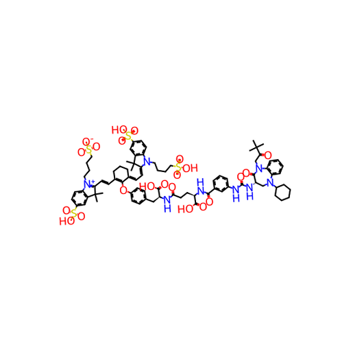 CC(C)(C)C(=O)CN1C(=O)[C@@H](NC(=O)Nc2cccc(C(=O)N[C@H](CCC(=O)N[C@@H](Cc3ccc(OC4=C(/C=C/C5=[N+](CCCCS(=O)(=O)[O-])c6ccc(S(=O)(=O)O)cc6C5(C)C)CCC/C4=C\C=C4\N(CCCCS(=O)(=O)O)c5ccc(S(=O)(=O)O)cc5C4(C)C)cc3)C(=O)O)C(=O)O)c2)CN(C2CCCCC2)c2ccccc21